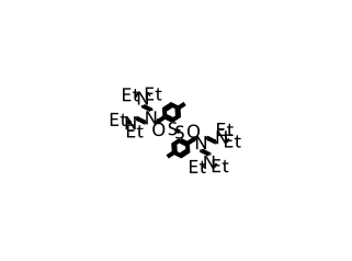 CCN(CC)CCN(CCN(CC)CC)C(=O)c1ccc(C)cc1SSc1cc(C)ccc1C(=O)N(CCN(CC)CC)CCN(CC)CC